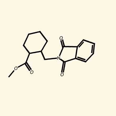 COC(=O)C1CCCCC1CN1C(=O)c2ccccc2C1=O